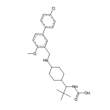 COc1ccc(-c2ccc(Cl)cc2)cc1CNC1CCC(C(NC(=O)O)C(C)(C)C)CC1